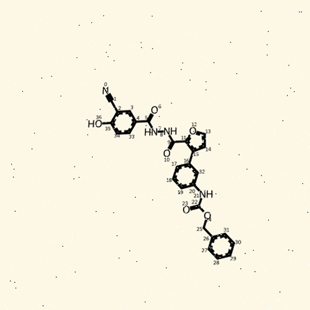 N#Cc1cc(C(=O)NNC(=O)c2occc2-c2cccc(NC(=O)OCc3ccccc3)c2)ccc1O